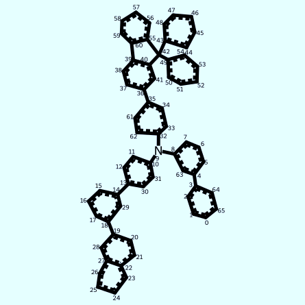 c1ccc(-c2cccc(N(c3ccc(-c4cccc(-c5ccc6ccccc6c5)c4)cc3)c3ccc(-c4ccc5c(c4)C(c4ccccc4)(c4ccccc4)c4ccccc4-5)cc3)c2)cc1